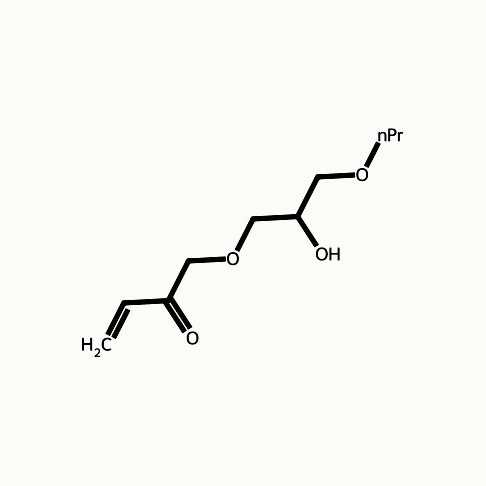 C=CC(=O)COCC(O)COCCC